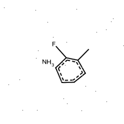 Cc1ccccc1F.N